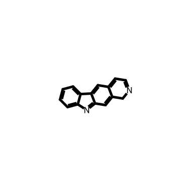 C1=NCc2cc3c(cc2=C1)-c1ccccc1N=3